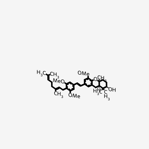 COc1cc(/C=C/c2cc3c(c(OC)c2)O[C@]2(C)CC[C@@H](O)C(C)(C)[C@H]2C3)cc(OC)c1C/C=C(\C)CCC=C(C)C